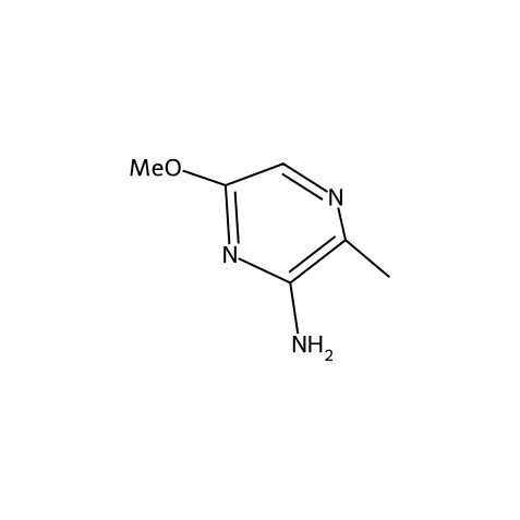 COc1cnc(C)c(N)n1